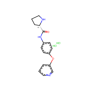 Cl.Cl.O=C(Nc1ccc(Oc2cccnc2)cc1)[C@@H]1CCCN1